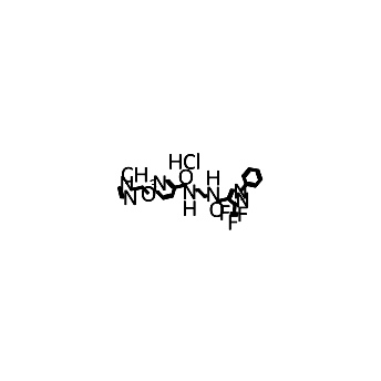 Cl.Cn1ccnc1COc1ccc(C(=O)NCCNC(=O)c2cn(-c3ccccc3)nc2C(F)(F)F)cn1